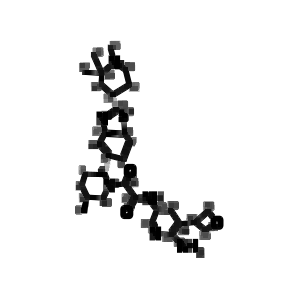 C[C@H]1CC[C@H](c2ccc3sc([C@H]4CCN(C)C(C)(C)C4)nc3c2)N(C(=O)C(=O)Nc2cnc(N)c(C3COC3)c2)C1